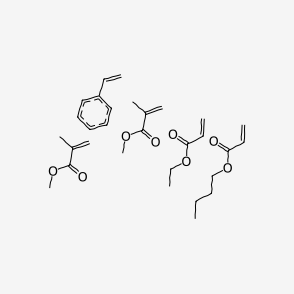 C=C(C)C(=O)OC.C=C(C)C(=O)OC.C=CC(=O)OCC.C=CC(=O)OCCCC.C=Cc1ccccc1